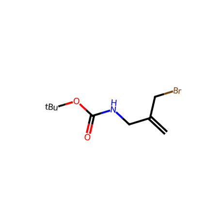 C=C(CBr)CNC(=O)OC(C)(C)C